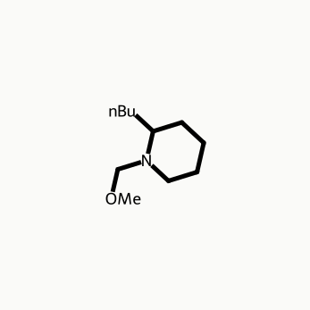 CCCCC1CCCCN1COC